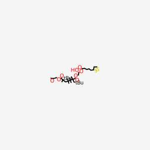 CC(C)(C)CC(C)(C(=O)OCC(O)OC(=O)CCCCC1CCSS1)C(C)(C)C(C)(C)CC(C)(C(=O)OCC1CO1)C(C)(C)C